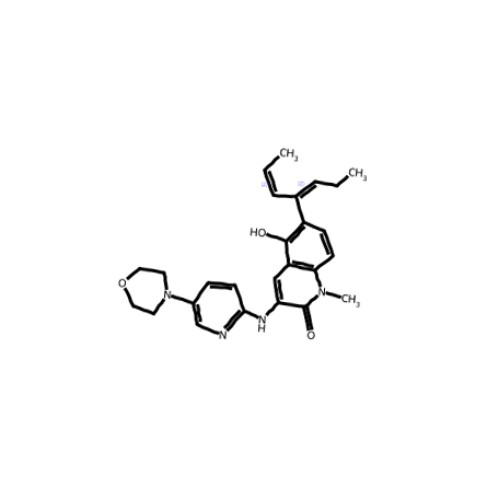 C/C=C\C(=C\CC)c1ccc2c(cc(Nc3ccc(N4CCOCC4)cn3)c(=O)n2C)c1O